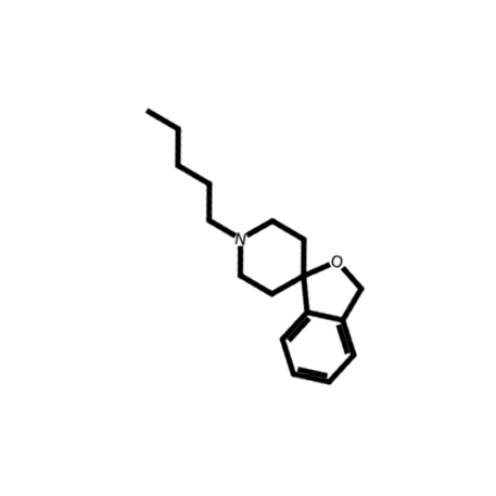 CCCCCN1CCC2(CC1)OCc1ccccc12